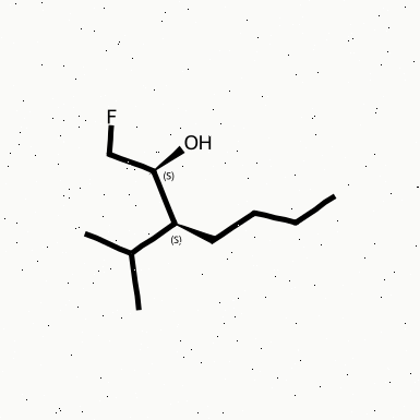 CCCC[C@@H](C(C)C)[C@H](O)CF